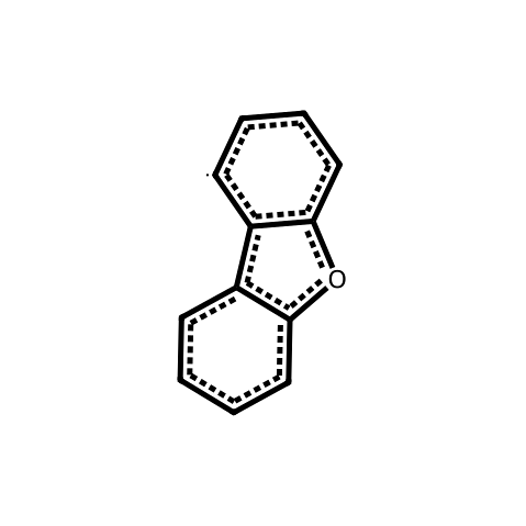 [c]1cccc2oc3ccccc3c12